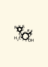 C=C1CC[C@@H](O)C/C(C(F)(F)F)=C\C=C/1Oc1cc(F)cc(F)c1